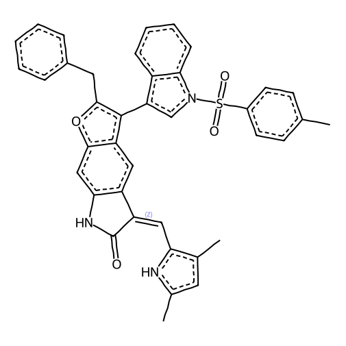 Cc1ccc(S(=O)(=O)n2cc(-c3c(Cc4ccccc4)oc4cc5c(cc34)/C(=C/c3[nH]c(C)cc3C)C(=O)N5)c3ccccc32)cc1